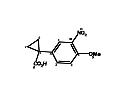 COc1ccc(C2(C(=O)O)CC2)cc1[N+](=O)[O-]